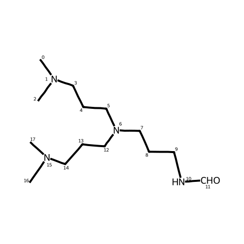 CN(C)CCCN(CCCNC=O)CCCN(C)C